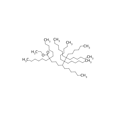 CCCCCCC(CCCC(CCCCCC)(CCCCCC)C(=O)OCC)C(CCCCCC)(CCCCCC)C(CCCCCC)(CCCCCC)CCCCCC